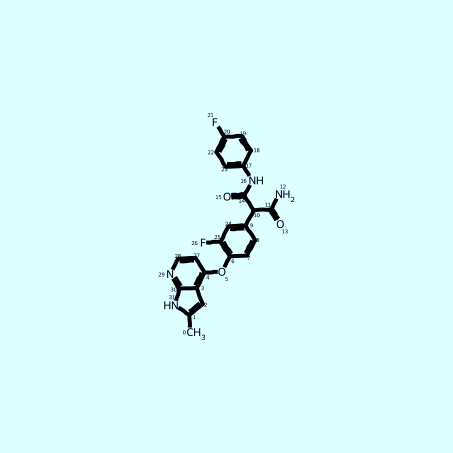 Cc1cc2c(Oc3ccc(C(C(N)=O)C(=O)Nc4ccc(F)cc4)cc3F)ccnc2[nH]1